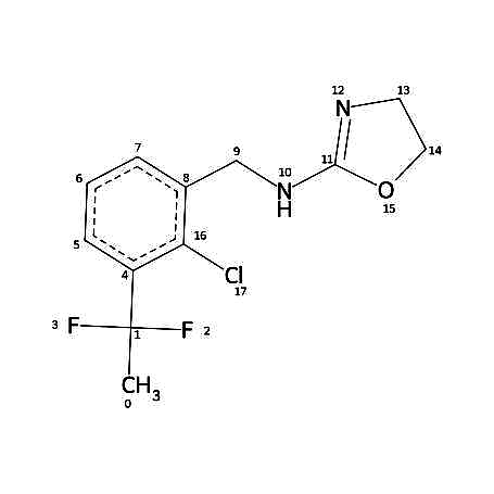 CC(F)(F)c1cccc(CNC2=NCCO2)c1Cl